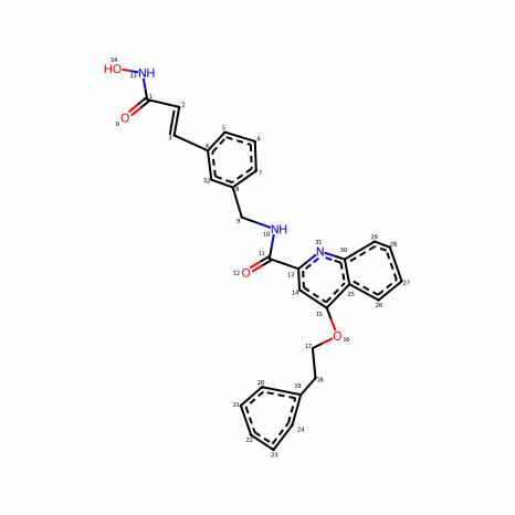 O=C(/C=C/c1cccc(CNC(=O)c2cc(OCCc3ccccc3)c3ccccc3n2)c1)NO